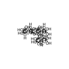 OC[C@H]1O[C@H](O[C@H]2O[C@H](CO)[C@@H](O)[C@H](O)[C@H]2O)[C@H](O)[C@@H](O)[C@@H]1O.OC[C@H]1O[C@H](O[C@H]2O[C@H](CO)[C@@H](O)[C@H](O)[C@H]2O)[C@H](O)[C@@H](O)[C@@H]1O.OC[C@H]1O[C@H](O[C@H]2O[C@H](CO)[C@@H](O)[C@H](O)[C@H]2O)[C@H](O)[C@@H](O)[C@@H]1O.[Ar]